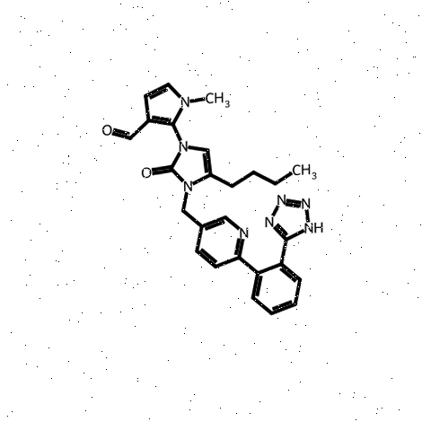 CCCCc1cn(-c2c(C=O)ccn2C)c(=O)n1Cc1ccc(-c2ccccc2-c2nnn[nH]2)nc1